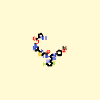 CCO[C@H]1CC[C@H](n2cc(NC(=O)c3csc(-c4cnn(COC(=O)[C@H]5CCCN5)c4)n3)c(-c3nc(F)ccc3F)n2)CC1